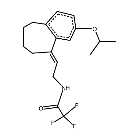 CC(C)Oc1ccc2c(c1)/C(=C/CNC(=O)C(F)(F)F)CCCC2